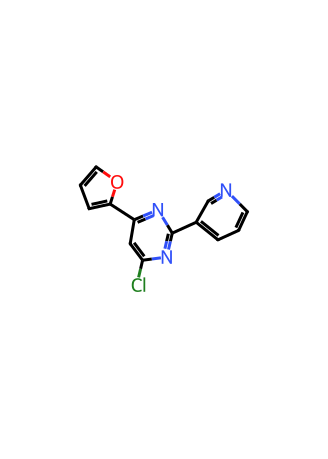 Clc1cc(-c2ccco2)nc(-c2cccnc2)n1